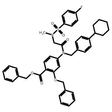 CN(CC(=O)N(Cc1ccc(C2CCCCC2)cc1)c1ccc(C(=O)OCc2ccccc2)c(OCc2ccccc2)c1)S(=O)(=O)c1ccc(F)cc1